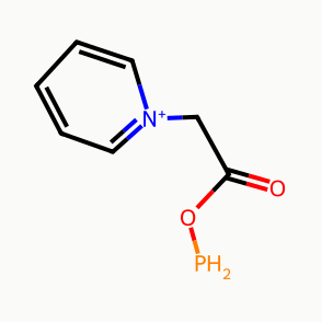 O=C(C[n+]1ccccc1)OP